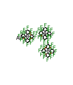 Fc1c(F)c(F)c([B-](c2c(F)c(F)c(F)c(F)c2F)(c2c(F)c(F)c(F)c(F)c2F)c2c(F)c(F)c(F)c(F)c2F)c(F)c1F.Fc1c(F)c(F)c([B-](c2c(F)c(F)c(F)c(F)c2F)(c2c(F)c(F)c(F)c(F)c2F)c2c(F)c(F)c(F)c(F)c2F)c(F)c1F.Fc1c(F)c(F)c([B-](c2c(F)c(F)c(F)c(F)c2F)(c2c(F)c(F)c(F)c(F)c2F)c2c(F)c(F)c(F)c(F)c2F)c(F)c1F.[Al+3]